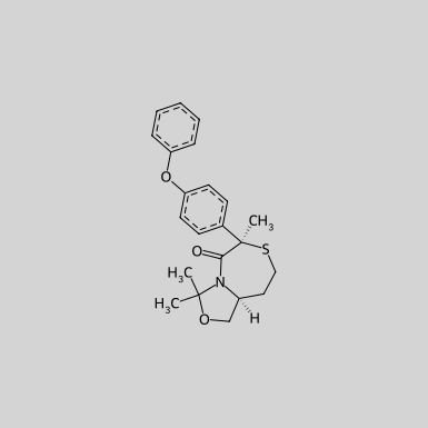 CC1(C)OC[C@@H]2CCS[C@](C)(c3ccc(Oc4ccccc4)cc3)C(=O)N21